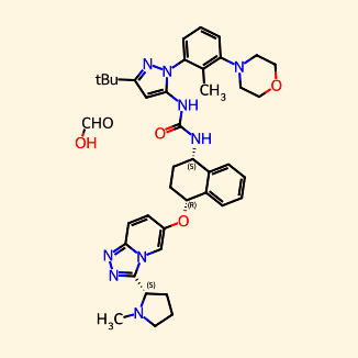 Cc1c(N2CCOCC2)cccc1-n1nc(C(C)(C)C)cc1NC(=O)N[C@H]1CC[C@@H](Oc2ccc3nnc([C@@H]4CCCN4C)n3c2)c2ccccc21.O=CO